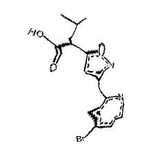 CC(C)C(C(=O)O)c1cc(-c2cc(Br)ccn2)no1